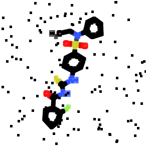 CCN(c1ccccc1)S(=O)(=O)c1ccc(NC(=S)NC(=O)c2ccccc2F)cc1